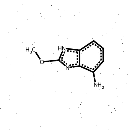 COc1nc2c(N)cccc2[nH]1